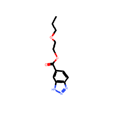 CCCOCCOC(=O)c1ccc2nn[nH]c2c1